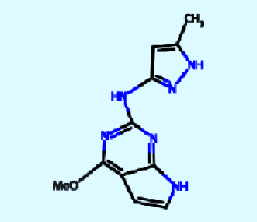 COc1nc(Nc2cc(C)[nH]n2)nc2[nH]ccc12